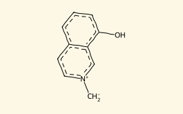 [CH2-][n+]1ccc2cccc(O)c2c1